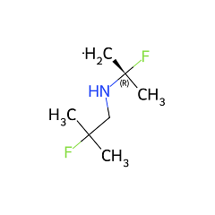 [CH2][C@](C)(F)NCC(C)(C)F